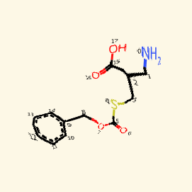 NCC(CSC(=O)OCc1ccccc1)C(=O)O